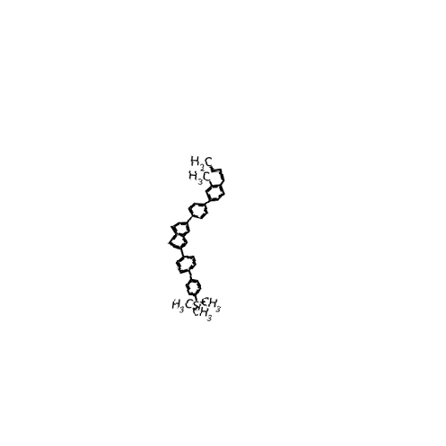 C=C/C=C\c1ccc(-c2ccc(-c3ccc4ccc(-c5ccc(-c6ccc([Si](C)(C)C)cc6)cc5)cc4c3)cc2)cc1C